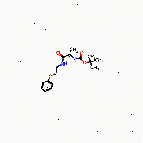 C[C@@H](NC(=O)OC(C)(C)C)C(=O)NCCSc1ccccc1